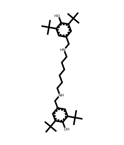 CC(C)(C)c1cc(CNCCCCCCNCc2cc(C(C)(C)C)c(O)c(C(C)(C)C)c2)cc(C(C)(C)C)c1O